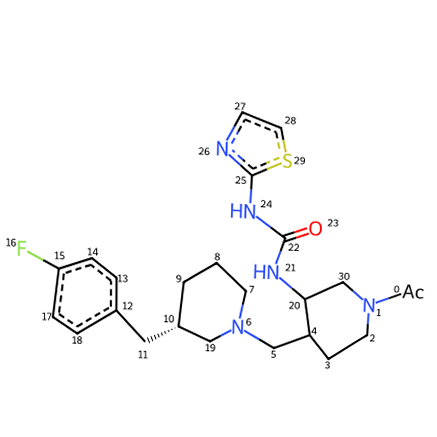 CC(=O)N1CCC(CN2CCC[C@@H](Cc3ccc(F)cc3)C2)C(NC(=O)Nc2nccs2)C1